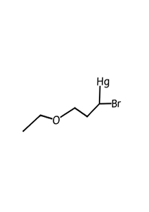 CCOCC[CH](Br)[Hg]